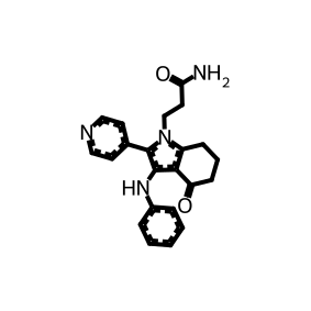 NC(=O)CCn1c2c(c(Nc3ccccc3)c1-c1ccncc1)C(=O)CCC2